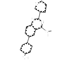 CNc1nc(-c2cccnc2)nc2ccc(-c3ccc(N)cc3)cc12